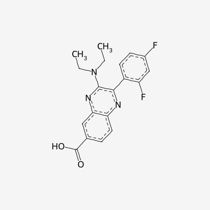 CCN(CC)c1nc2cc(C(=O)O)ccc2nc1-c1ccc(F)cc1F